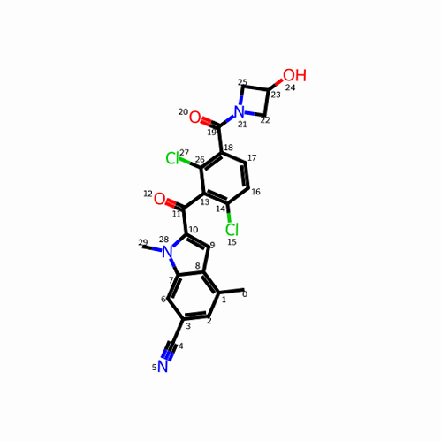 Cc1cc(C#N)cc2c1cc(C(=O)c1c(Cl)ccc(C(=O)N3CC(O)C3)c1Cl)n2C